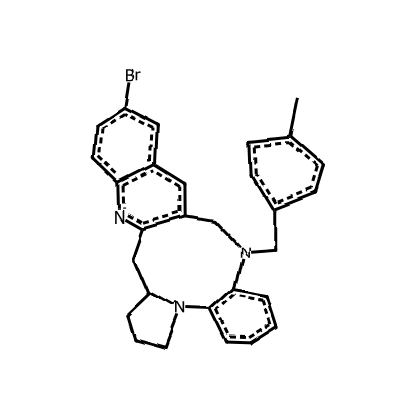 Cc1ccc(CN2Cc3cc4cc(Br)ccc4nc3CC3CCCN3c3ccccc32)cc1